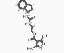 Cc1noc(C)c1C(=O)OCCNC(=S)N[C@H]1CCc2ccccc21